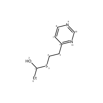 CCC(O)SCCc1ccncn1